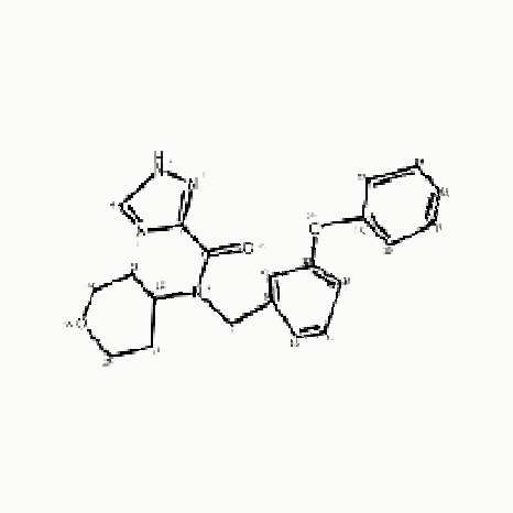 O=C(c1nc[nH]n1)N(Cc1cccc(Oc2ccccc2)c1)C1CCOCC1